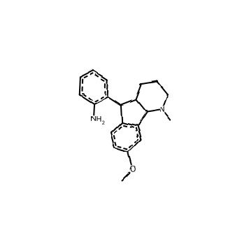 COc1ccc2c(c1)C1C(CCCN1C)C2c1ccccc1N